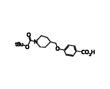 CC(C)(C)OC(=O)N1CCC(COc2ccc(C(=O)O)cc2)CC1